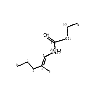 CCCC(C)=CNC(=O)OCC